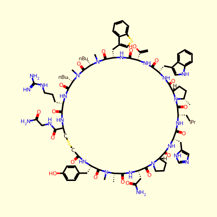 C=C(O)[C@@H]1NC(=O)[C@H](Cc2c[nH]c3ccccc23)NC(=O)[C@@H]2CC[C@H](C)N2C(=O)[C@H](CC(C)C)NC(=O)[C@H](Cc2cnc[nH]2)NC(=O)[C@@H]2CCCN2C(=O)[C@H](CC(N)=O)NC(=O)[C@H](C)N(C)C(=O)[C@H](Cc2ccc(O)cc2)NC(=O)CSCC(C(=O)NCC(N)=O)NC(=O)[C@H](CCCNC(=N)N)NC(=O)[C@H](CCCC)N(C)C(=O)[C@H](CCCC)N(C)C(=O)[C@H](Cc2csc3ccccc23)NC1=O